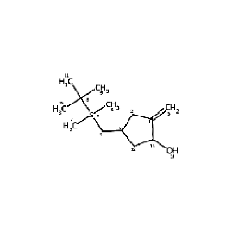 C=C1CC(CS(C)(C)C(C)(C)C)CC1O